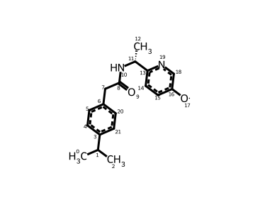 CC(C)c1ccc(CC(=O)N[C@H](C)c2ccc([O])cn2)cc1